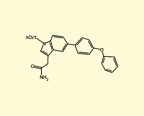 CCCCCCCCn1cc(CC(N)=O)c2cc(-c3ccc(Oc4ccccc4)cc3)ccc21